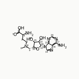 CN(CCC(N)C(=O)O)C[C@H]1O[C@@H](n2cnc3c(N)ncnc32)C(O)C1O